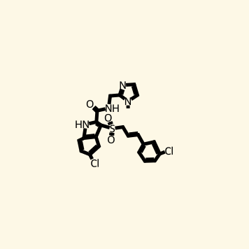 Cn1ccnc1CNC(=O)c1[nH]c2ccc(Cl)cc2c1S(=O)(=O)CC=Cc1cccc(Cl)c1